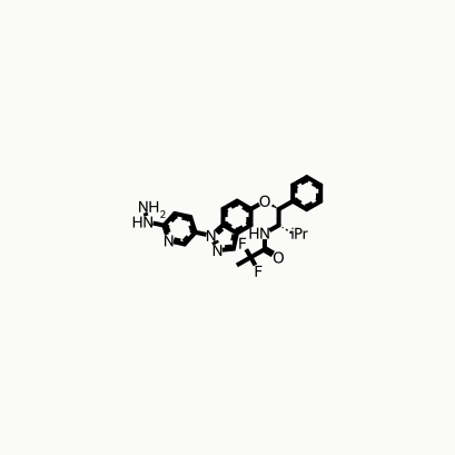 CC(C)[C@H](NC(=O)C(C)(F)F)[C@H](Oc1ccc2c(cnn2-c2ccc(NN)nc2)c1)c1ccccc1